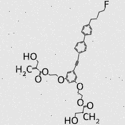 C=C(CO)C(=O)OCCOc1cc(C#Cc2ccc(-c3ccc(CCCCF)cc3)cc2)cc(OCCOC(=O)C(=C)CO)c1